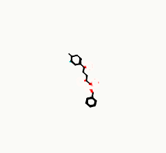 CC1CC=C(C(=O)CCC(=O)C(=O)OCc2ccccc2)C=C1F